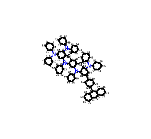 c1ccc(N(c2ccccc2)c2cc3c4c(c2)N(c2ccccc2)c2cc5c(cc2B4c2ccccc2N3c2ccccc2)B2c3ccccc3N(c3ccccc3)c3cc(-c4ccc(-c6c7ccccc7cc7ccccc67)cc4)cc(c32)N5c2ccccc2)cc1